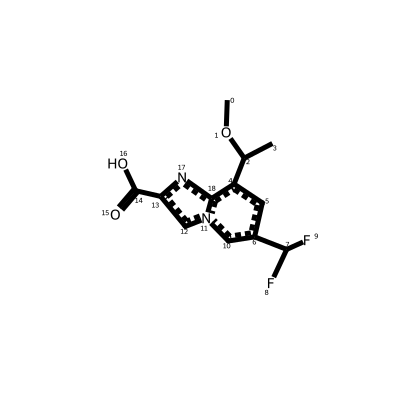 COC(C)c1cc(C(F)F)cn2cc(C(=O)O)nc12